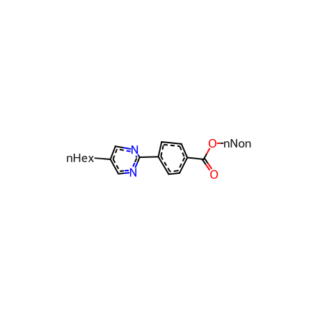 CCCCCCCCCOC(=O)c1ccc(-c2ncc(CCCCCC)cn2)cc1